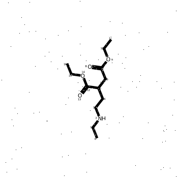 CCNCCC(CC(=O)OCC)C(=O)OCC